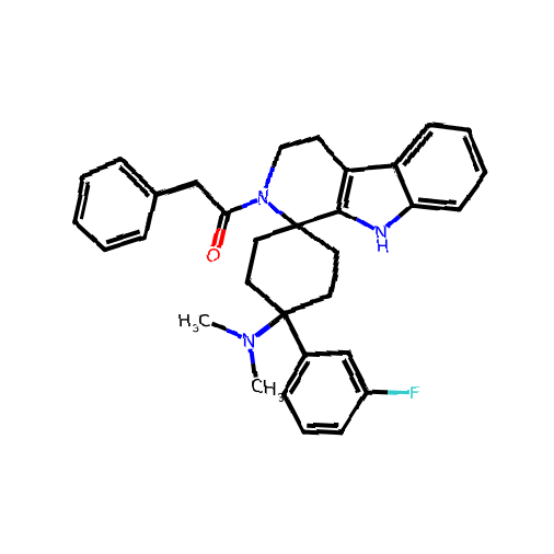 CN(C)C1(c2cccc(F)c2)CCC2(CC1)c1[nH]c3ccccc3c1CCN2C(=O)Cc1ccccc1